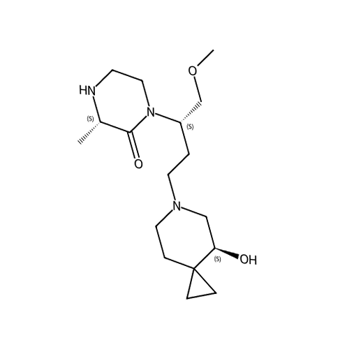 COC[C@H](CCN1CCC2(CC2)[C@H](O)C1)N1CCN[C@@H](C)C1=O